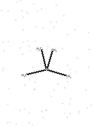 CCCCCCCCCCCCCCCCC[N+](CCCCCCCCCCCCCCCC)(CCCCCCCCCCCCCCCCC)CCCCCCCCCCCCCCCCC